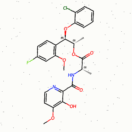 COc1cc(F)ccc1[C@@H](Oc1ccccc1Cl)[C@H](C)OC(=O)[C@H](C)NC(=O)c1nccc(OC)c1O